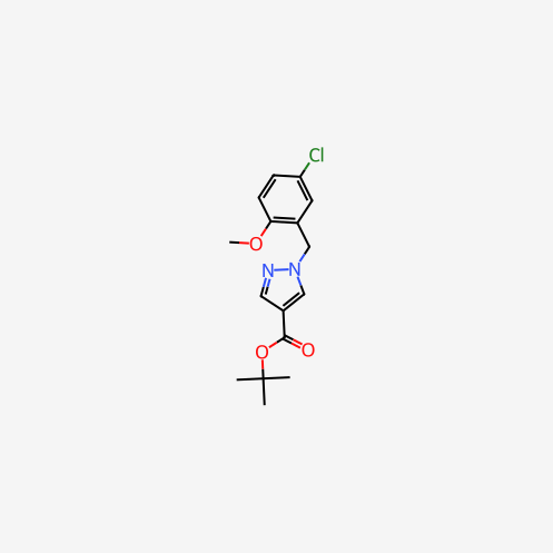 COc1ccc(Cl)cc1Cn1cc(C(=O)OC(C)(C)C)cn1